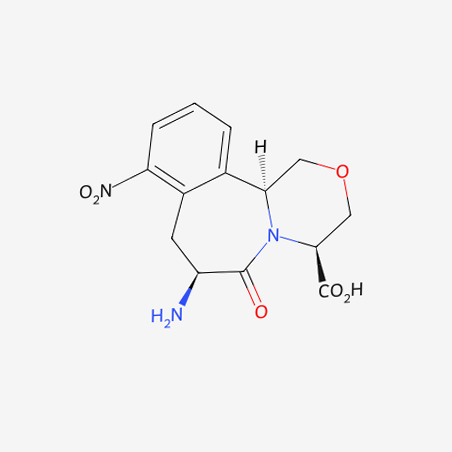 N[C@H]1Cc2c(cccc2[N+](=O)[O-])[C@H]2COC[C@@H](C(=O)O)N2C1=O